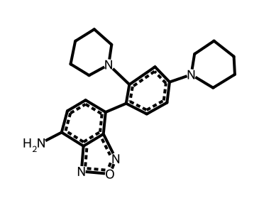 Nc1ccc(-c2ccc(N3CCCCC3)cc2N2CCCCC2)c2nonc12